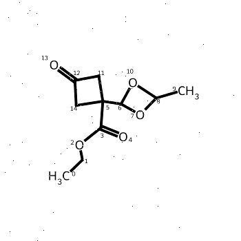 CCOC(=O)C1(C2OC(C)O2)CC(=O)C1